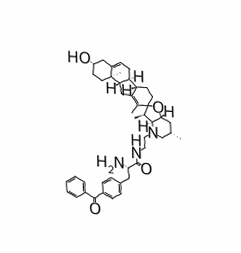 CC1=C2C[C@H]3[C@@H](CC=C4C[C@@H](O)CC[C@@]43C)[C@@H]2CCC12O[C@@H]1C[C@H](C)CN(CCNC(=O)[C@@H](N)Cc3ccc(C(=O)c4ccccc4)cc3)[C@H]1[C@H]2C